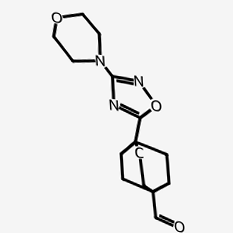 O=CC12CCC(c3nc(N4CCOCC4)no3)(CC1)CC2